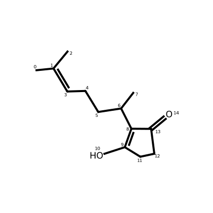 CC(C)=CCCC(C)C1=C(O)CCC1=O